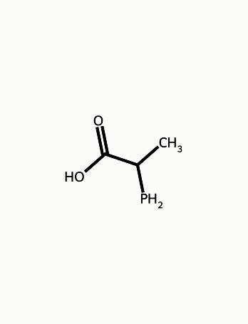 CC(P)C(=O)O